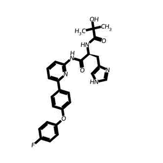 CC(C)(O)C(=O)N[C@@H](Cc1c[nH]cn1)C(=O)Nc1cccc(-c2ccc(Oc3ccc(F)cc3)cc2)n1